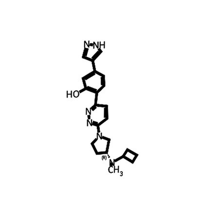 CN(C1CCC1)[C@@H]1CCN(c2ccc(-c3ccc(-c4cn[nH]c4)cc3O)nn2)C1